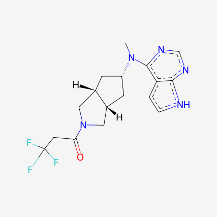 CN(c1ncnc2[nH]ccc12)[C@@H]1C[C@@H]2CN(C(=O)CC(F)(F)F)C[C@@H]2C1